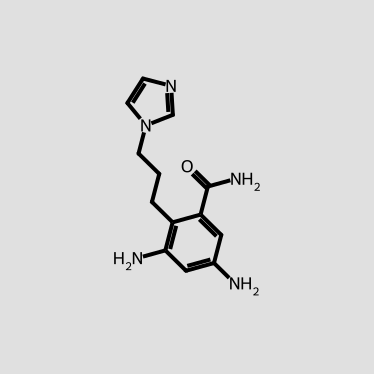 NC(=O)c1cc(N)cc(N)c1CCCn1ccnc1